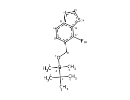 CC(C)(C)[Si](C)(C)OCc1ccc2ccsc2c1F